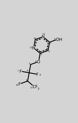 Oc1cc(OCC(F)(F)C(F)C(F)(F)F)ncn1